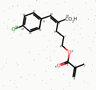 C=C(C)C(=O)OCCCC(=Cc1ccc(Cl)cc1)C(=O)O